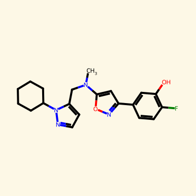 CN(Cc1ccnn1C1CCCCC1)c1cc(-c2ccc(F)c(O)c2)no1